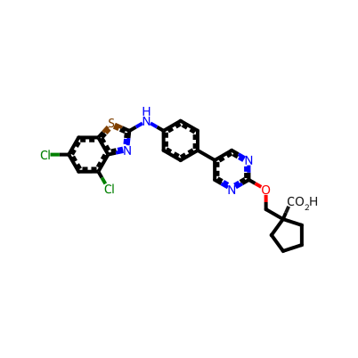 O=C(O)C1(COc2ncc(-c3ccc(Nc4nc5c(Cl)cc(Cl)cc5s4)cc3)cn2)CCCC1